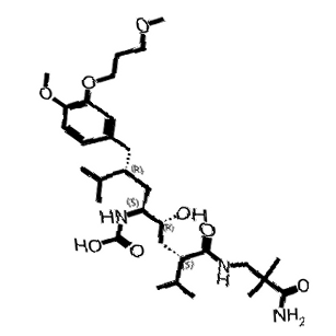 COCCCOc1cc(C[C@H](C[C@H](NC(=O)O)[C@H](O)C[C@H](C(=O)NCC(C)(C)C(N)=O)C(C)C)C(C)C)ccc1OC